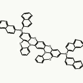 c1ccc2c(c1)Sc1cc(N(c3ccc4ccccc4c3)c3ccc4ccccc4c3)cc3c1B2c1cc2c(cc1S3)Sc1cc(N(c3ccc4ccccc4c3)c3ccc4ccccc4c3)cc3c1B2c1ccccc1S3